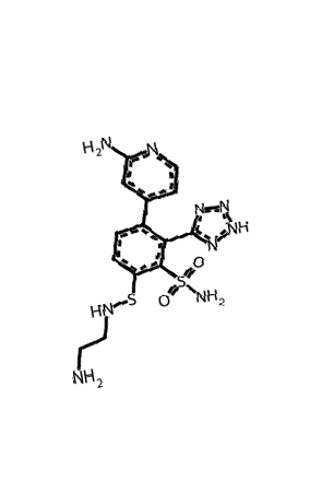 NCCNSc1ccc(-c2ccnc(N)c2)c(-c2nn[nH]n2)c1S(N)(=O)=O